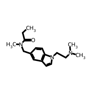 CCC(=O)N(C)Cc1ccc2c(ccn2CCN(C)C)c1